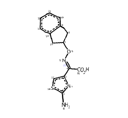 Nc1nc(/C(=N/OC2Cc3ccccc3C2)C(=O)O)cs1